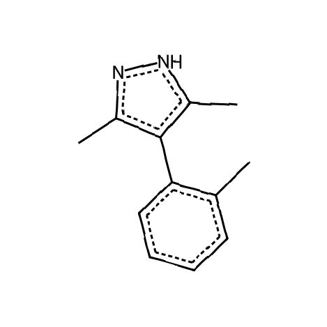 Cc1ccccc1-c1c(C)n[nH]c1C